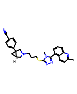 Cc1ccc2c(-c3nnc(SCCCN4C[C@H]5CC5(c5ccc(C#N)cc5)C4)n3C)cccc2n1